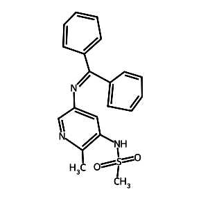 Cc1ncc(N=C(c2ccccc2)c2ccccc2)cc1NS(C)(=O)=O